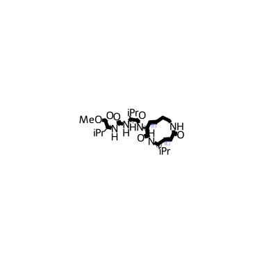 COC(=O)[C@H](NC(=O)N[C@@H](C(=O)N[C@H]1/C=C/CCNC(=O)/C=C/[C@H](C(C)C)NC1=O)C(C)C)C(C)C